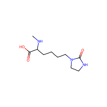 CNC(CCCCN1CCNC1=O)C(=O)O